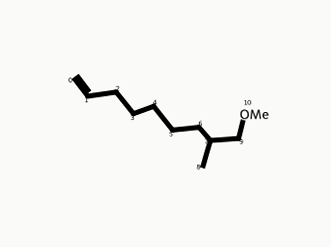 C=CCCCCCC(C)COC